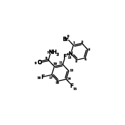 Brc1ccccn1.NC(=O)c1c(F)cc(F)cc1F